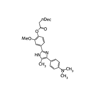 CCCCCCCCCCCC(=O)Oc1ccc(-c2nc(-c3ccc(N(C)C)cc3)c(C)[nH]2)cc1OC